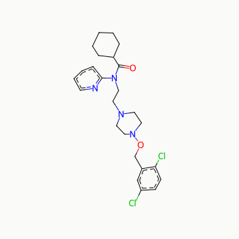 O=C(C1CCCCC1)N(CCN1CCN(OCc2cc(Cl)ccc2Cl)CC1)c1ccccn1